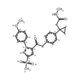 CNC(=O)CC1(c2ccc(CC(=O)c3cc(S(C)(=O)=O)nn3-c3ccc(OC)cc3)cc2)CC1